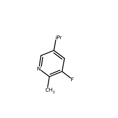 Cc1ncc(C(C)C)cc1F